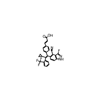 N#Cc1c(C(=C(c2ccccc2C(F)(F)F)C2CC2)c2ccc(C=CC(=O)O)cc2)ccc2[nH]nc(F)c12